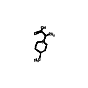 CC1CCN(C(C)C(=O)O)CC1